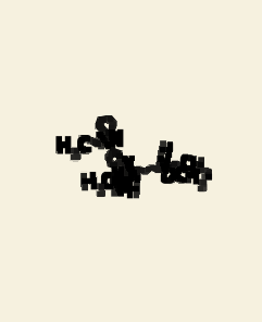 CCCn1c(-c2ccc3c(c2)nc(NCCCCNC(=O)CC(C)C)c2nnc(C)n23)nc2ccccc21